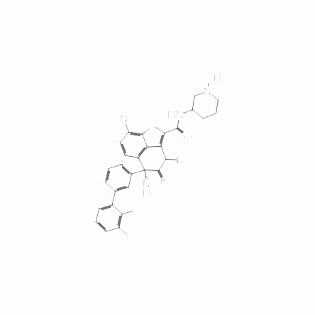 CN1CCCC(NC(=O)c2sc3c(N)ccc4c3c2C(N)C(=O)C4(N)c2cccc(-c3cccc(F)c3F)c2)C1